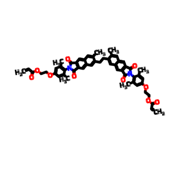 C=CC(=O)OCCOc1cc(C)c(N2C(=O)c3cc4cc(C)c(CCc5cc6cc7c(cc6cc5C)C(=O)N(c5c(C)cc(OCCOC(=O)C=C)cc5C)C7=O)cc4cc3C2=O)c(C)c1